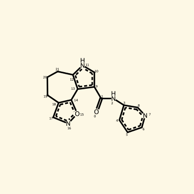 O=C(Nc1cccnc1)c1c[nH]c2c1-c1oncc1CCC2